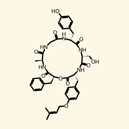 CC(C)=CCOc1ccc(C[C@H]2NC(=O)[C@@H](CO)NC(=O)[C@@H](Cc3ccc(O)cc3)NC(=O)CNC(=O)[C@H](C)NC(=O)[C@H](Cc3ccccc3)OC2=O)cc1